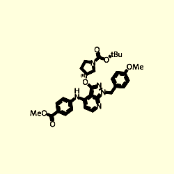 COC(=O)c1ccc(Nc2ccnc3c2c(O[C@@H]2CCN(C(=O)OC(C)(C)C)C2)nn3Cc2ccc(OC)cc2)cc1